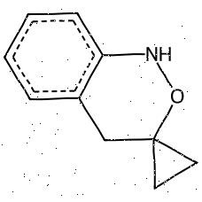 c1ccc2c(c1)CC1(CC1)ON2